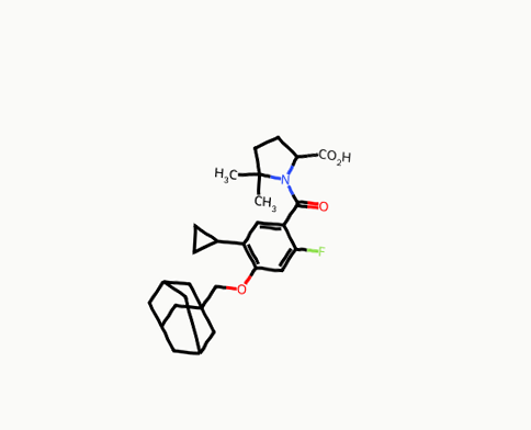 CC1(C)CCC(C(=O)O)N1C(=O)c1cc(C2CC2)c(OCC23CC4CC(CC(C4)C2)C3)cc1F